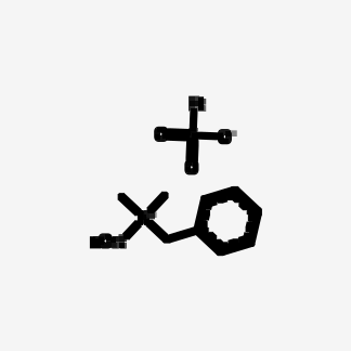 CCCCCCCC[N+](C)(C)Cc1ccccc1.CCS(=O)(=O)[O-]